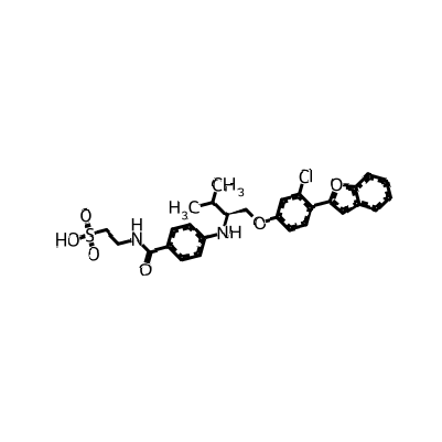 CC(C)[C@@H](COc1ccc(-c2cc3ccccc3o2)c(Cl)c1)Nc1ccc(C(=O)NCCS(=O)(=O)O)cc1